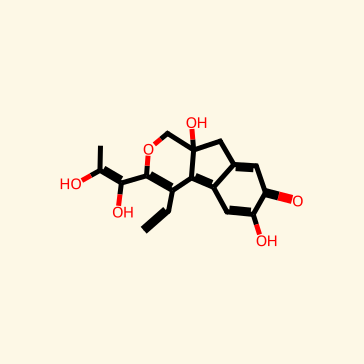 C=CC1=C(/C(O)=C(\C)O)OCC2(O)CC3=CC(=O)C(O)=CC3=C12